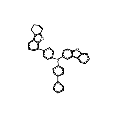 C1=Cc2oc3c(-c4ccc(N(c5ccc(-c6ccccc6)cc5)c5ccc6oc7ccccc7c6c5)cc4)cccc3c2CC1